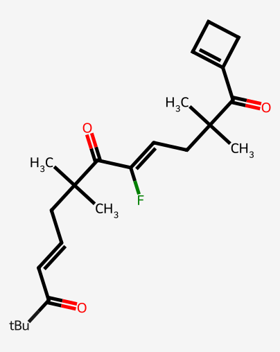 CC(C)(C)C(=O)/C=C/CC(C)(C)C(=O)/C(F)=C/CC(C)(C)C(=O)C1=CCC1